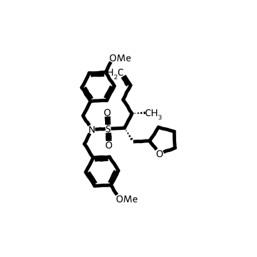 C=CC[C@H](C)[C@H](CC1CCCO1)S(=O)(=O)N(Cc1ccc(OC)cc1)Cc1ccc(OC)cc1